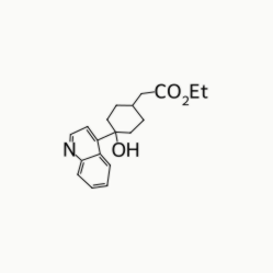 CCOC(=O)CC1CCC(O)(c2ccnc3ccccc23)CC1